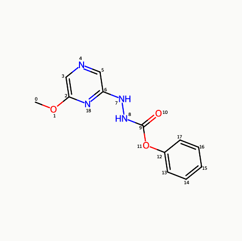 COc1cncc(NNC(=O)Oc2ccccc2)n1